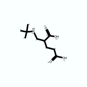 CC(C)(C)NCC(CCC(=O)O)C(=O)O